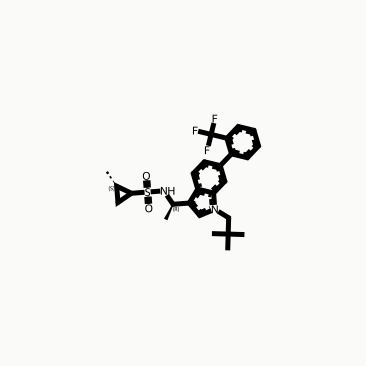 C[C@@H](NS(=O)(=O)C1C[C@@H]1C)c1cn(CC(C)(C)C)c2cc(-c3ccccc3C(F)(F)F)ccc12